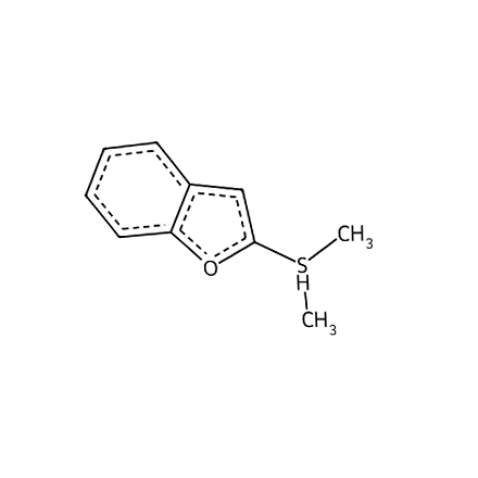 C[SH](C)c1cc2ccccc2o1